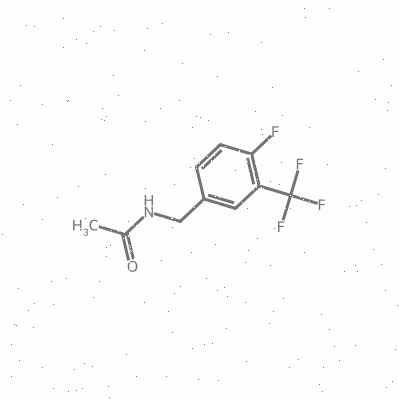 CC(=O)NCc1ccc(F)c(C(F)(F)F)c1